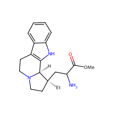 CC[C@]1(CC(N)C(=O)OC)CCN2CCc3c([nH]c4ccccc34)[C@H]21